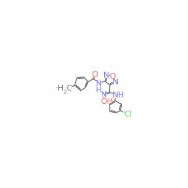 [CH2]c1ccc(C(=O)Nc2nonc2C(=NO)Nc2cccc(Cl)c2)cc1